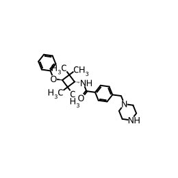 CC1(C)[C@H](NC(=O)c2ccc(CN3CCNCC3)cc2)C(C)(C)[C@H]1Oc1ccccc1